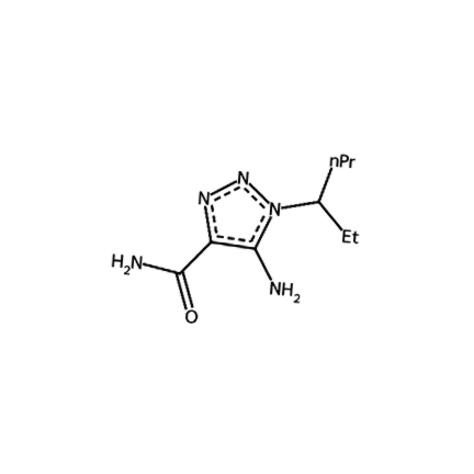 CCCC(CC)n1nnc(C(N)=O)c1N